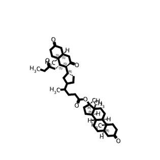 CCC(=O)C[C@H]1[C@H]([C@@H]2CCC(C(C)CCC(=O)O[C@]3(C)CC[C@@H]4[C@H]5CC[C@@H]6CC(=O)CC[C@@]6(C)[C@@H]5CC[C@]43C)C2)C(=O)C[C@@H]2CC(=O)CC[C@@]21C